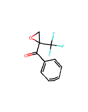 O=C(c1ccccc1)C1(C(F)(F)F)CO1